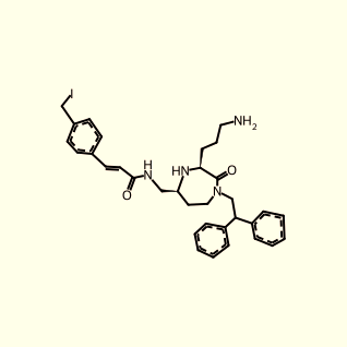 NCCC[C@@H]1N[C@H](CNC(=O)/C=C/c2ccc(CI)cc2)CCN(CC(c2ccccc2)c2ccccc2)C1=O